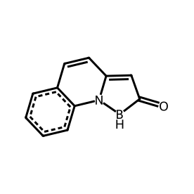 O=C1BN2C(=C1)C=Cc1ccccc12